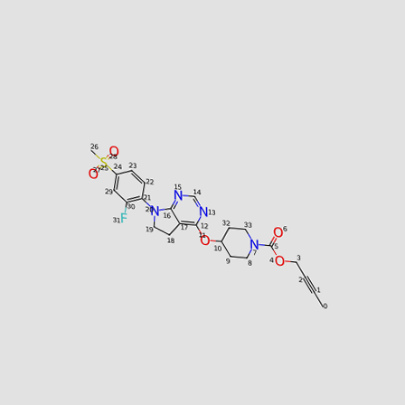 CC#CCOC(=O)N1CCC(Oc2ncnc3c2CCN3c2ccc(S(C)(=O)=O)cc2F)CC1